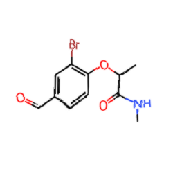 CNC(=O)C(C)Oc1ccc(C=O)cc1Br